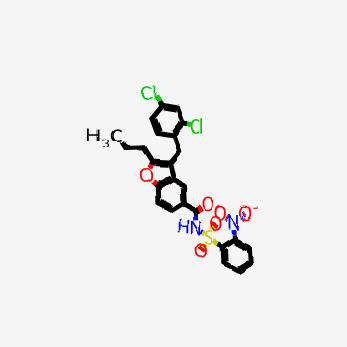 CCCc1oc2ccc(C(=O)NS(=O)(=O)c3ccccc3[N+](=O)[O-])cc2c1Cc1ccc(Cl)cc1Cl